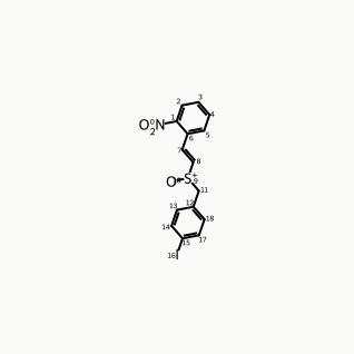 O=[N+]([O-])c1ccccc1/C=C/[S+]([O-])Cc1ccc(I)cc1